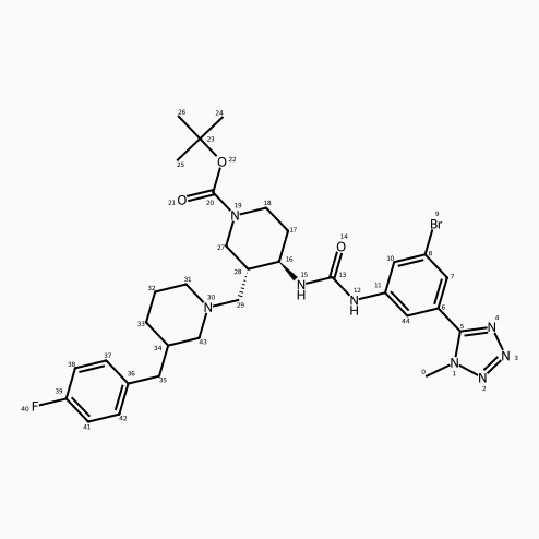 Cn1nnnc1-c1cc(Br)cc(NC(=O)N[C@@H]2CCN(C(=O)OC(C)(C)C)C[C@H]2CN2CCCC(Cc3ccc(F)cc3)C2)c1